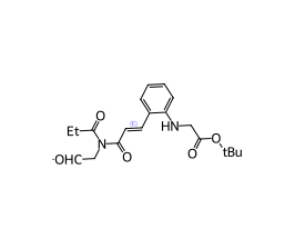 CCC(=O)N(C[C]=O)C(=O)/C=C/c1ccccc1NCC(=O)OC(C)(C)C